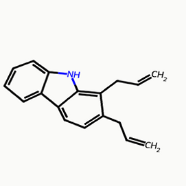 C=CCc1ccc2c([nH]c3ccccc32)c1CC=C